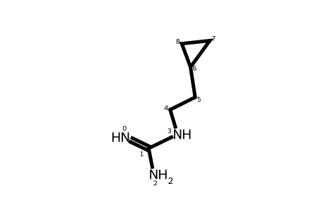 N=C(N)NCCC1CC1